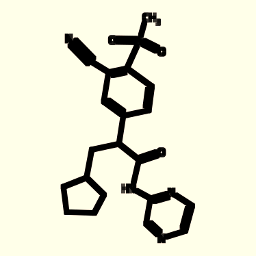 CS(=O)(=O)c1ccc(C(CC2CCCC2)C(=O)Nc2cnccn2)cc1C#N